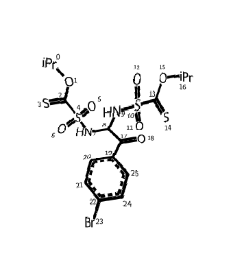 CC(C)OC(=S)S(=O)(=O)NC(NS(=O)(=O)C(=S)OC(C)C)C(=O)c1ccc(Br)cc1